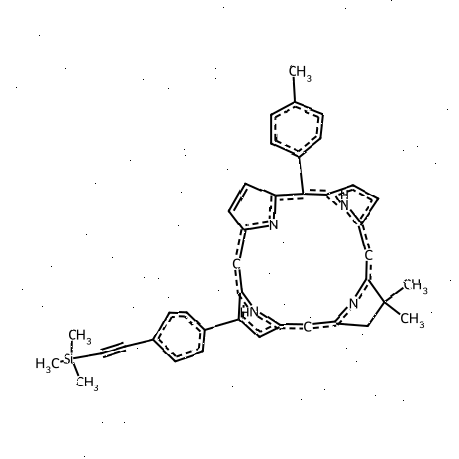 Cc1ccc(-c2c3nc(cc4[nH]c(cc5nc(cc6ccc2[nH]6)C(C)(C)C5)cc4-c2ccc(C#C[Si](C)(C)C)cc2)C=C3)cc1